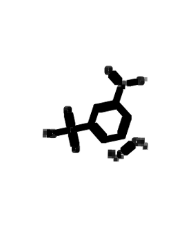 C=C.O=[N+]([O-])c1cccc(S(=O)(=O)O)c1